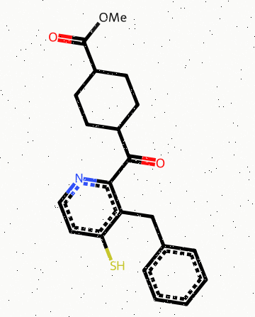 COC(=O)C1CCC(C(=O)c2nccc(S)c2Cc2ccccc2)CC1